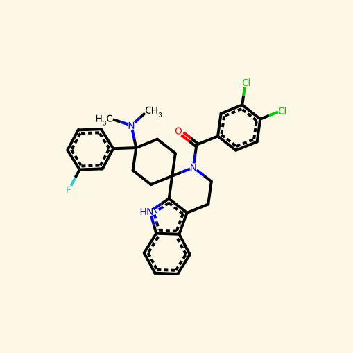 CN(C)C1(c2cccc(F)c2)CCC2(CC1)c1[nH]c3ccccc3c1CCN2C(=O)c1ccc(Cl)c(Cl)c1